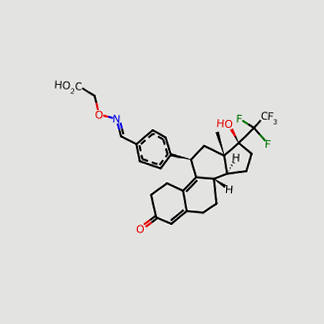 C[C@]12C[C@H](c3ccc(/C=N/OCC(=O)O)cc3)C3=C4CCC(=O)C=C4CC[C@H]3[C@@H]1CC[C@@]2(O)C(F)(F)C(F)(F)F